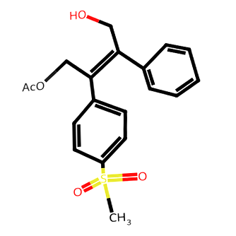 CC(=O)OCC(=C(CO)c1ccccc1)c1ccc(S(C)(=O)=O)cc1